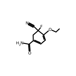 CCOC1=CC=C(C(N)=O)CC1(F)C#N